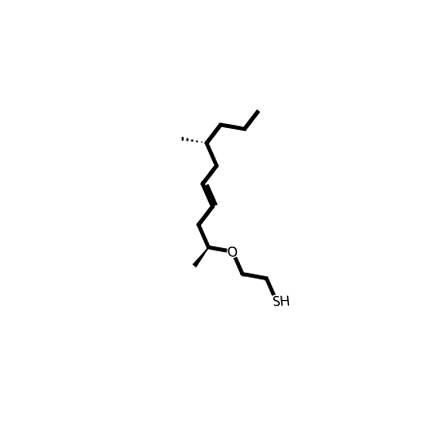 CCC[C@@H](C)CC=CC[C@H](C)OCCS